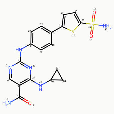 NC(=O)c1cnc(Nc2ccc(-c3ccc(S(N)(=O)=O)s3)cc2)nc1NC1CC1